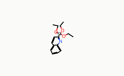 CCO[Si](OCC)(OCC)c1ccc2ccccc2n1